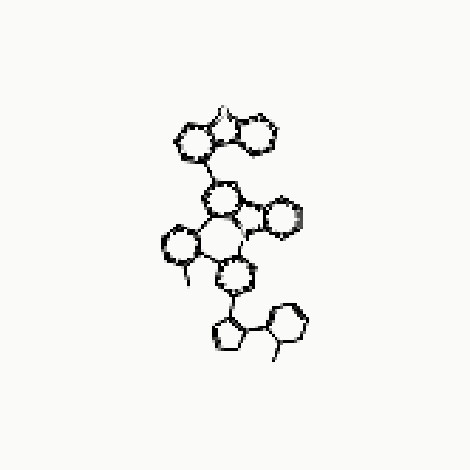 Cc1cccc2c1-c1cc(C3=C(C4=CC=CCC4C)CC=C3)ccc1-n1c3ccccc3c3cc(-c4cccc5oc6ccccc6c45)cc-2c31